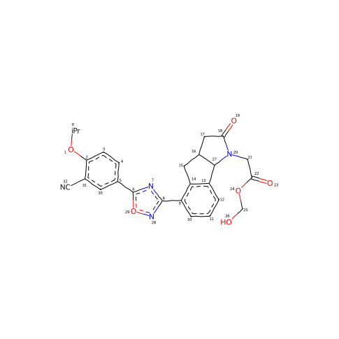 CC(C)Oc1ccc(-c2nc(-c3cccc4c3CC3CC(=O)N(CC(=O)OCO)C43)no2)cc1C#N